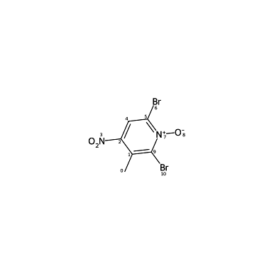 Cc1c([N+](=O)[O-])cc(Br)[n+]([O-])c1Br